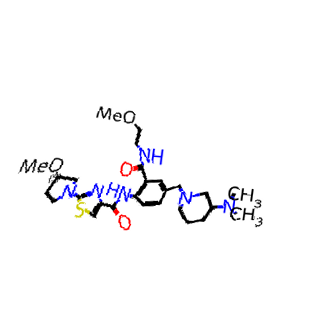 COCCNC(=O)c1cc(CN2CCCC(N(C)C)C2)ccc1NC(=O)c1csc(N2CC[C@H](OC)C2)n1